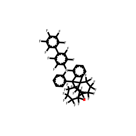 Fc1c(F)c(F)c(-c2c(F)c(F)c(N3c4ccccc4C4(C5(F)C(F)(F)C(F)(F)C(F)(F)C(F)(F)C5(F)F)c5c3cccc5C43C(F)(F)C(F)(F)C(F)(F)C(F)(F)C3(F)F)c(F)c2F)c(F)c1F